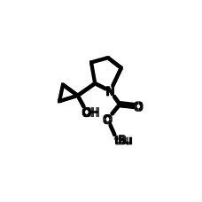 CC(C)(C)OC(=O)N1CCCC1C1(O)CC1